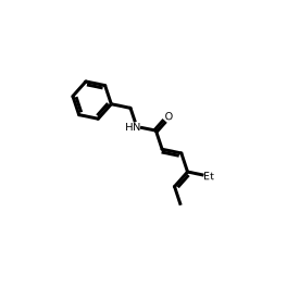 CC=C(C=CC(=O)NCc1ccccc1)CC